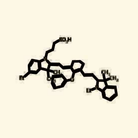 CCc1ccc2c(c1)C(C)(C)/C(=C\C=C1/CCCC(/C=C/C3N(CC)c4ccccc4C3(C)C)=C1Oc1ccccc1)N2CCCS(=O)(=O)O